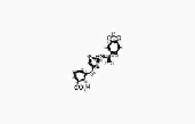 O=C(O)c1cccc(Sc2cnc(NC3(c4ccc5c(c4)OCO5)CC3)s2)c1